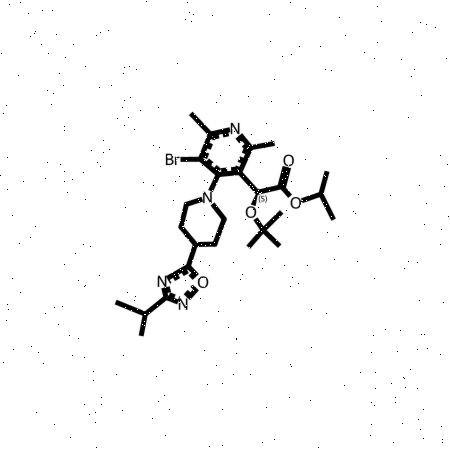 Cc1nc(C)c([C@H](OC(C)(C)C)C(=O)OC(C)C)c(N2CCC(c3nc(C(C)C)no3)CC2)c1Br